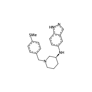 CSc1ccc(CN2CCC[C@H](Nc3ccc4[nH]ncc4c3)C2)cc1